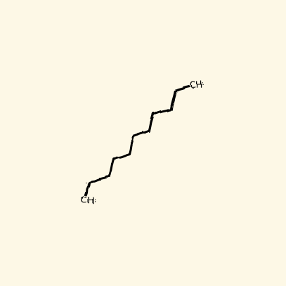 [CH][CH]CCCCCCCC[CH]